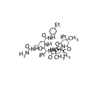 CCc1ccc(NC(=O)[C@H](CCCNC(N)=O)NC(=O)[C@@H](NC(=O)C(C)(C)CC(C)(C)N2C(=O)CC(C)(C(C)C)CC2=O)C(C)C)cc1